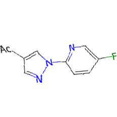 CC(=O)c1cnn(-c2ccc(F)cn2)c1